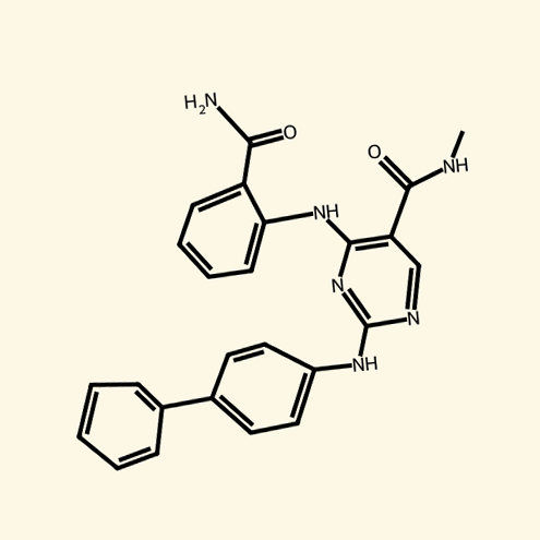 CNC(=O)c1cnc(Nc2ccc(-c3ccccc3)cc2)nc1Nc1ccccc1C(N)=O